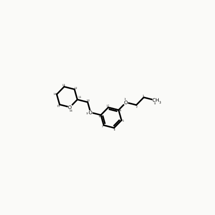 CCCOc1cccc(OCC2CCCCO2)c1